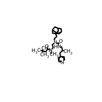 CC(CNC(=O)N(CCN(C)C(=O)CC(C)(C)C)CCC12CC3CC(CC(C3)C1)C2)Cc1ccncc1